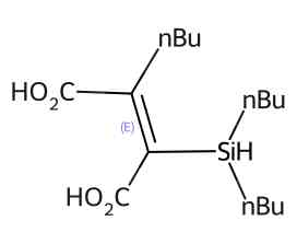 CCCC/C(C(=O)O)=C(/C(=O)O)[SiH](CCCC)CCCC